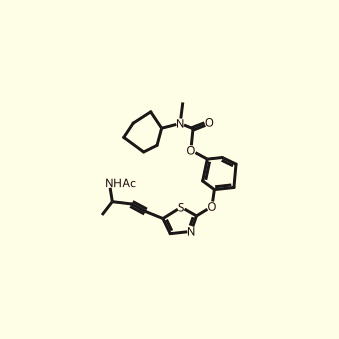 CC(=O)NC(C)C#Cc1cnc(Oc2cccc(OC(=O)N(C)C3CCCCC3)c2)s1